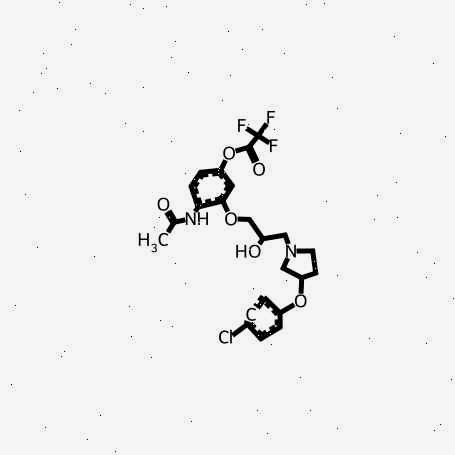 CC(=O)Nc1ccc(OC(=O)C(F)(F)F)cc1OCC(O)CN1CCC(Oc2ccc(Cl)cc2)C1